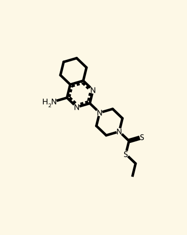 CCSC(=S)N1CCN(c2nc(N)c3c(n2)CCCC3)CC1